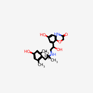 Cc1cc(O)cc(C)c1CC(C)(C)NCC(O)c1cc(O)cc2c1OCC(=O)N2